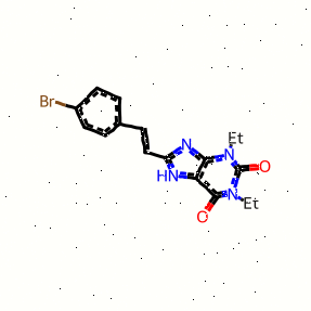 CCn1c(=O)c2[nH]c(C=Cc3ccc(Br)cc3)nc2n(CC)c1=O